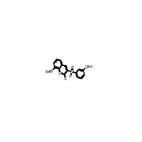 COc1cccc(S(=O)(=O)c2cc3cccc(OC)c3oc2=O)c1